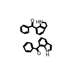 O=C(c1ccccc1)c1cccc2c1NCC2.O=C(c1ccccc1)c1cccc2cc[nH]c12